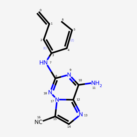 C=C/C=C(\C=C/C)Nc1nc(N)c2ncc(C#N)n2n1